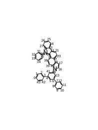 c1ccc(-c2cc(-c3ccccc3)cc(-n3ccc4c5ccc6c7ccccc7n(-c7ccccc7)c6c5ccc43)c2)cc1